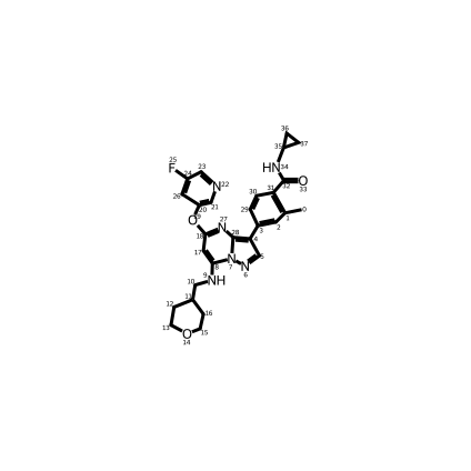 Cc1cc(-c2cnn3c(NCC4CCOCC4)cc(Oc4cncc(F)c4)nc23)ccc1C(=O)NC1CC1